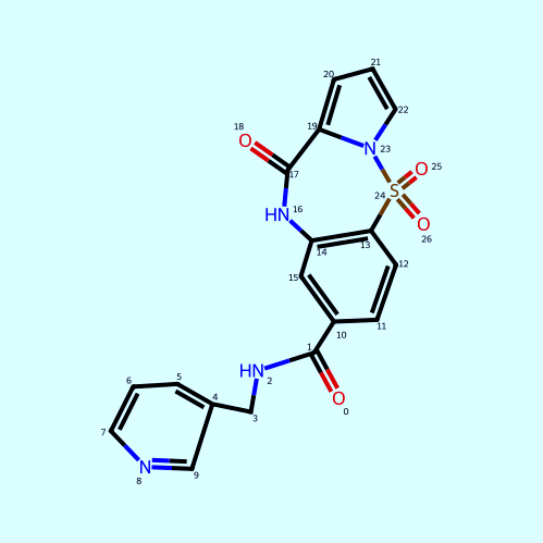 O=C(NCc1cccnc1)c1ccc2c(c1)NC(=O)c1cccn1S2(=O)=O